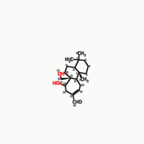 CC1(C)CCC[C@@]2(C)C1CC[C@@]1(CO)C(O)CC(C=O)=CCC21